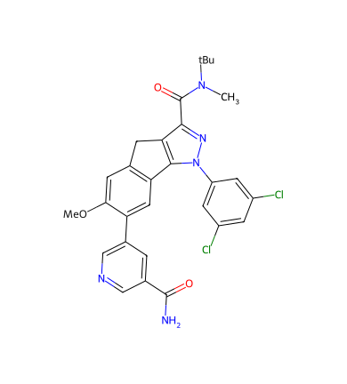 COc1cc2c(cc1-c1cncc(C(N)=O)c1)-c1c(c(C(=O)N(C)C(C)(C)C)nn1-c1cc(Cl)cc(Cl)c1)C2